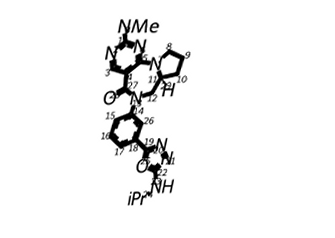 CNc1ncc2c(n1)N1CCC[C@H]1CN(c1cccc(-c3nnc(NC(C)C)o3)c1)C2=O